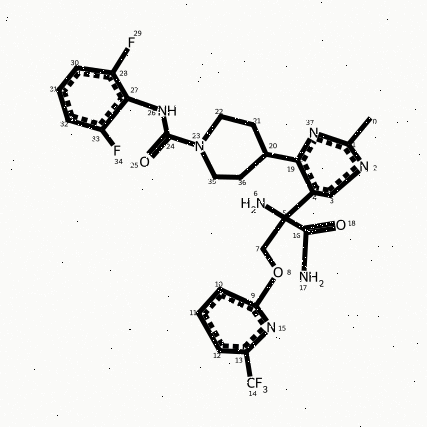 Cc1ncc(C(N)(COc2cccc(C(F)(F)F)n2)C(N)=O)c(C2CCN(C(=O)Nc3c(F)cccc3F)CC2)n1